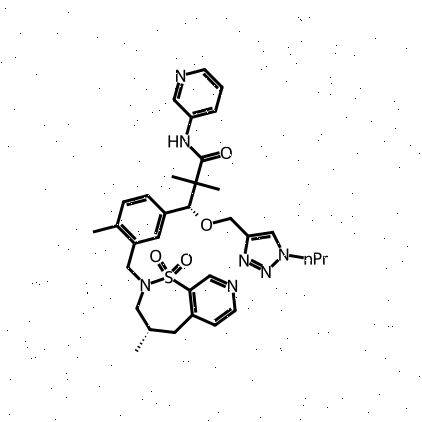 CCCn1cc(CO[C@H](c2ccc(C)c(CN3C[C@@H](C)Cc4ccncc4S3(=O)=O)c2)C(C)(C)C(=O)Nc2cccnc2)nn1